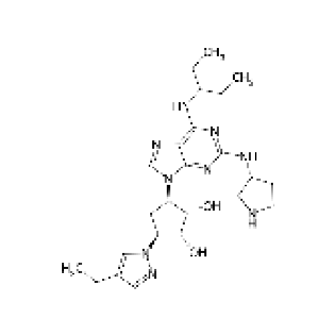 CCc1cnn([C@H]2C[C@@H](n3cnc4c(NC(CC)CC)nc(N[C@@H]5CCNC5)nc43)[C@H](O)[C@@H]2O)c1